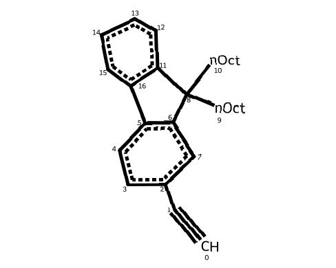 C#Cc1ccc2c(c1)C(CCCCCCCC)(CCCCCCCC)c1ccccc1-2